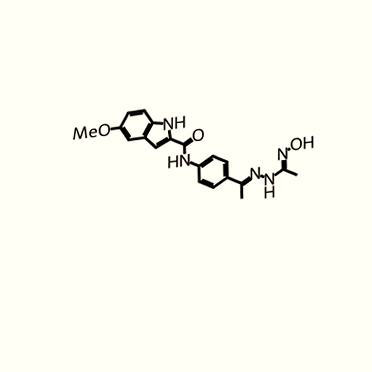 COc1ccc2[nH]c(C(=O)Nc3ccc(C(C)=NNC(C)=NO)cc3)cc2c1